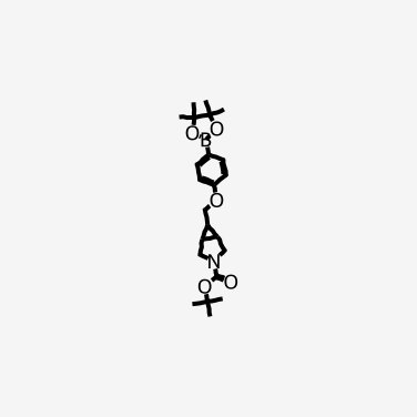 CC(C)(C)OC(=O)N1CC2C(COc3ccc(B4OC(C)(C)C(C)(C)O4)cc3)C2C1